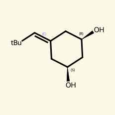 CC(C)(C)/C=C1/C[C@@H](O)C[C@@H](O)C1